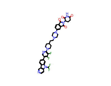 O=C1CCC(N2C(=O)c3ccc(N4CCN(CCC5CCN(c6ncc(-c7ccc8c9cnccc9n(C(F)F)c8c7)c(F)c6F)CC5)CC4)cc3C2=O)C(=O)N1